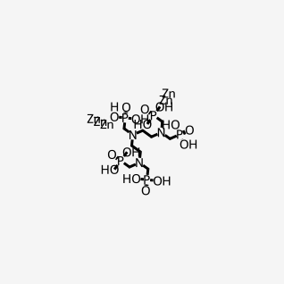 O=P(O)(O)CN(CCN(CP(=O)(O)O)CP(=O)(O)O)CCN(CP(=O)(O)O)CP(=O)(O)O.[Zn].[Zn].[Zn].[Zn].[Zn]